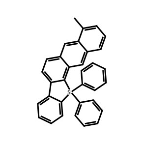 Cc1cccc2cc3c4c(ccc3cc12)-c1ccccc1[Si]4(c1ccccc1)c1ccccc1